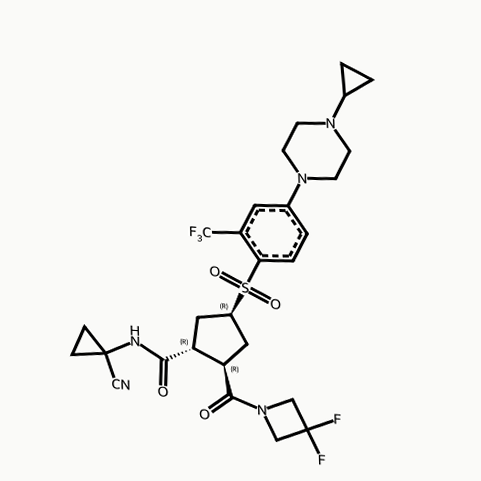 N#CC1(NC(=O)[C@@H]2C[C@@H](S(=O)(=O)c3ccc(N4CCN(C5CC5)CC4)cc3C(F)(F)F)C[C@H]2C(=O)N2CC(F)(F)C2)CC1